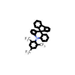 FC(F)(F)c1cc(C(F)(F)F)c(N2c3ccccc3C3(c4ccccc4-c4ccccc43)c3ccccc32)c(C(F)(F)F)c1